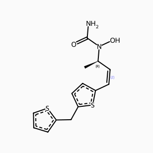 C[C@H](/C=C\c1ccc(Cc2cccs2)s1)N(O)C(N)=O